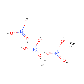 O=[N+]([O-])[O-].O=[N+]([O-])[O-].O=[N+]([O-])[O-].[Fe+2].[Li+]